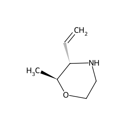 C=C[C@@H]1NCCO[C@H]1C